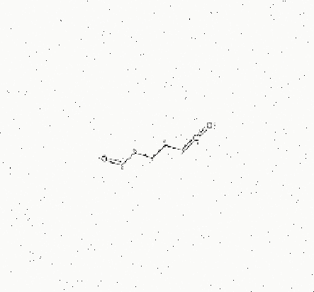 O=C=CCCCC=O